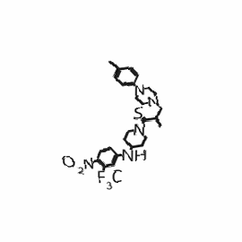 Cc1ccc(N2CCN(CC(C)C(=S)N3CCC(Nc4ccc([N+](=O)[O-])c(C(F)(F)F)c4)CC3)CC2)cc1